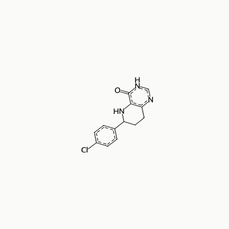 O=c1[nH]cnc2c1NC(c1ccc(Cl)cc1)CC2